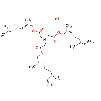 Br.C=CC(C)CCC=C(C)COC(=O)CN(CC(=O)OCC(C)=CCCC(C)C=C)CC(=O)OCC(C)=CCCC(C)C=C